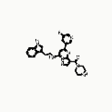 O=C(c1cnn2c(NCCc3c[nH]c4ccccc34)cc(-c3cncc(F)c3)nc12)N1CCNCC1